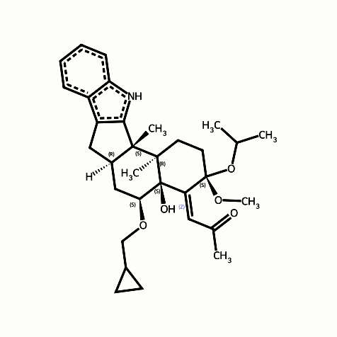 CO[C@]1(OC(C)C)CC[C@]2(C)[C@@]3(C)c4[nH]c5ccccc5c4C[C@@H]3C[C@H](OCC3CC3)[C@@]2(O)/C1=C/C(C)=O